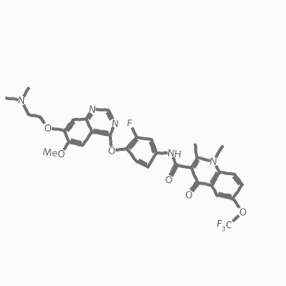 COc1cc2c(Oc3ccc(NC(=O)c4c(C)n(C)c5ccc(OC(F)(F)F)cc5c4=O)cc3F)ncnc2cc1OCCN(C)C